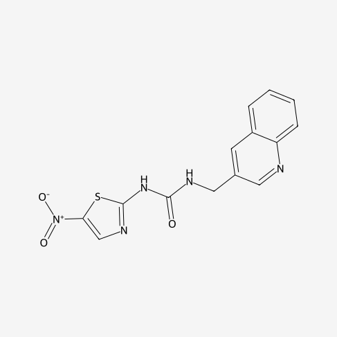 O=C(NCc1cnc2ccccc2c1)Nc1ncc([N+](=O)[O-])s1